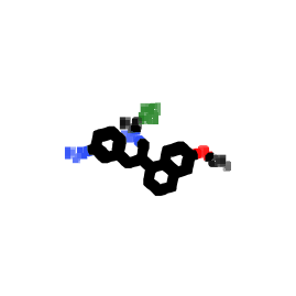 CNCC(Cc1cccc(N)c1)C1CCCc2cc(OC)ccc21.Cl.Cl